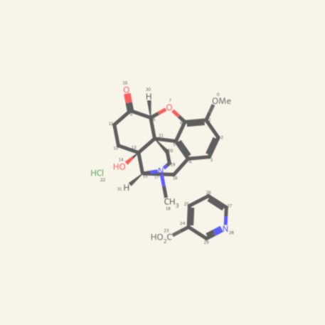 COc1ccc2c3c1O[C@H]1C(=O)CC[C@@]4(O)[C@@H](C2)N(C)CC[C@]314.Cl.O=C(O)c1cccnc1